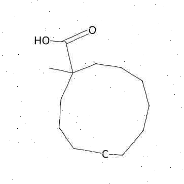 CC1(C(=O)O)CCCCCCCCCC1